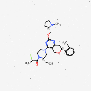 CC(F)C(=O)N1CCN(c2nc(OC[C@@H]3CCCN3C)nc3c2CO[C@@H](c2ccccc2C(F)(F)F)C3)C[C@@H]1CC#N